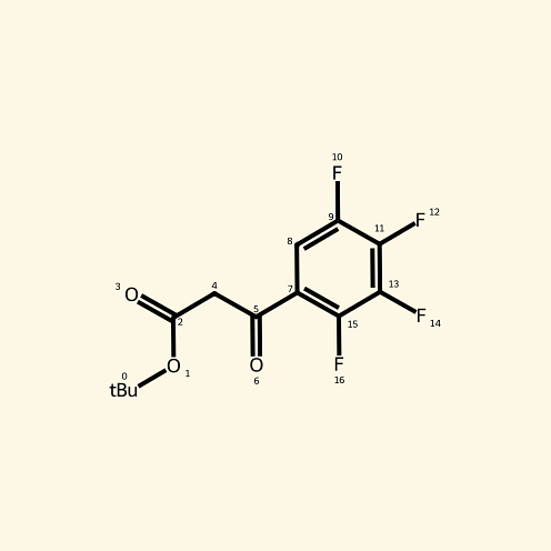 CC(C)(C)OC(=O)CC(=O)c1cc(F)c(F)c(F)c1F